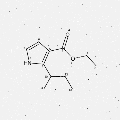 CCOC(=O)c1cc[nH]c1C(C)CC